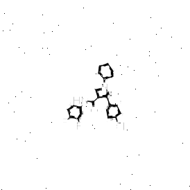 O=C(Nc1ccc(F)c(F)c1)c1cn(-c2ccccc2)nc1-c1ccc(Cl)cc1